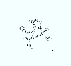 Cc1cc(-c2oncc2S(N)(=O)=O)n(C)n1